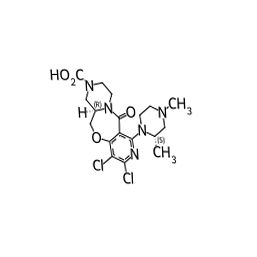 C[C@H]1CN(C)CCN1c1nc(Cl)c(Cl)c2c1C(=O)N1CCN(C(=O)O)C[C@@H]1CO2